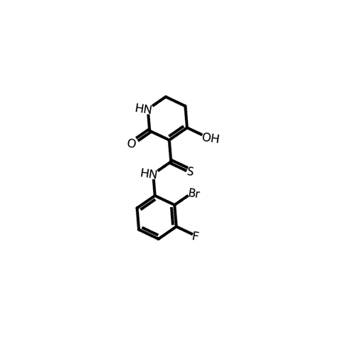 O=C1NCCC(O)=C1C(=S)Nc1cccc(F)c1Br